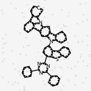 c1ccc(-c2nc(-c3ccccc3)nc(-c3ccc(-n4c5ccccc5c5cc6c(cc54)c4cccc5c7ccccc7n6c54)c4c3sc3ccccc34)n2)cc1